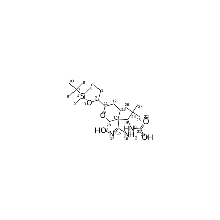 CCC(O[Si](C)(C)C(C)(C)C)C1CCC(/C(N)=N\O)(C(NC(=O)O)C(C)(C)C)CO1